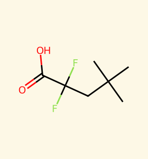 CC(C)(C)CC(F)(F)C(=O)O